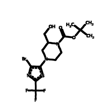 CC(C)(C)OC(=O)N1CCN(c2sc(C(F)(F)F)nc2Br)CC1CO